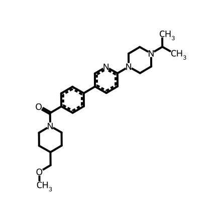 COCC1CCN(C(=O)c2ccc(-c3ccc(N4CCN(C(C)C)CC4)nc3)cc2)CC1